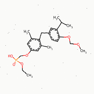 CCOP(=O)(O)COc1cc(C)c(Cc2ccc(OCOC)c(C(C)C)c2)c(C)c1